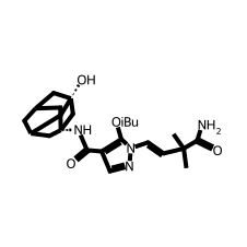 CC(C)COc1c(C(=O)N[C@]23CC4CC(C[C@@](O)(C4)C2)C3)cnn1/C=C/C(C)(C)C(N)=O